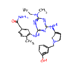 Cc1ccc(C(N)=O)cc1Nc1nc(N[C@H]2CCN(Cc3cccc(O)c3)C2)nc(N(C)CC(C)C)n1